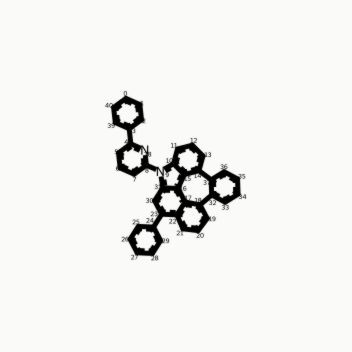 c1ccc(-c2cccc(-n3c4cccc5c4c4c6c(cccc6c(-c6ccccc6)cc43)-c3ccccc3-5)n2)cc1